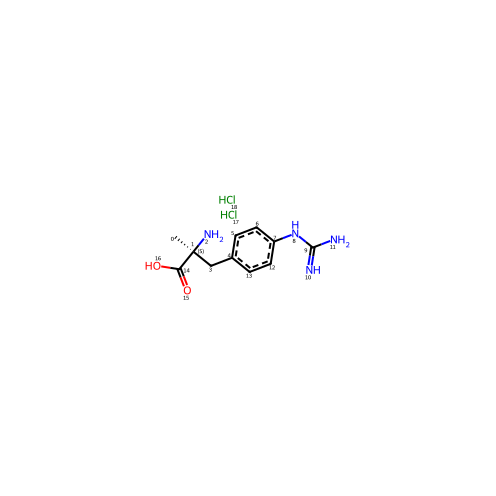 C[C@](N)(Cc1ccc(NC(=N)N)cc1)C(=O)O.Cl.Cl